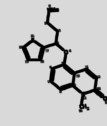 CNCCC(Oc1cccc2c1ccc(=O)n2C)c1cccs1